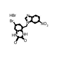 Br.O=c1[nH]c2cc(Br)cc(Cn3cnc4ccc([N+](=O)[O-])cc43)c2[nH]c1=O